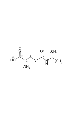 CC(C)NC(=O)CCC(N)C(=O)O